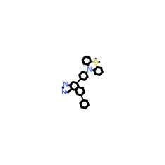 CS1(C)c2ccccc2N(c2ccc(-c3cc4ncncc4c4cc(-c5ccccc5)ccc34)cc2)c2ccccc21